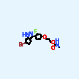 CNC(=O)OCCCOc1ccc(-c2n[nH]c3cc(Br)ccc23)c(F)c1